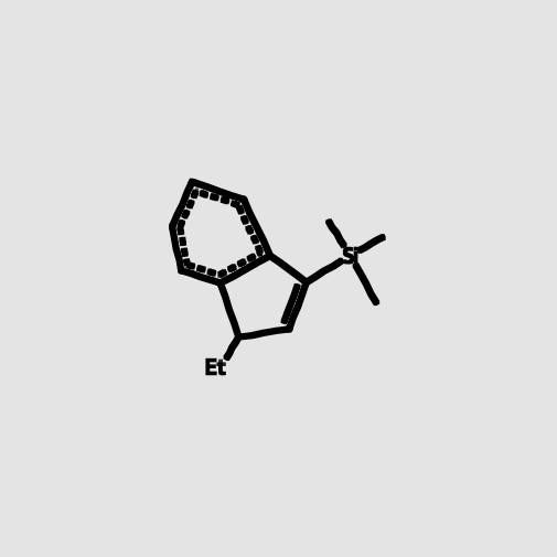 CCC1C=C([Si](C)(C)C)c2ccccc21